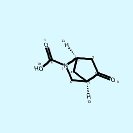 O=C1C[C@H]2C[C@@H]1CN2C(=O)O